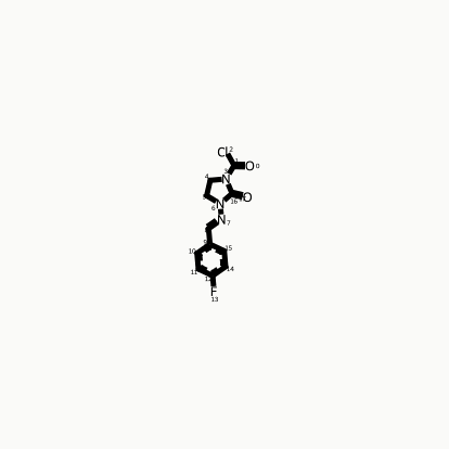 O=C(Cl)N1CCN(/N=C/c2ccc(F)cc2)C1=O